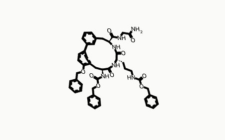 NC(=O)CNC(=O)[C@@H]1Cc2cccc(c2)-c2ccc(OCc3ccccc3)c(c2)C[C@H](NC(=O)OCc2ccccc2)C(=O)N[C@@H](CCCNC(=O)OCc2ccccc2)C(=O)N1